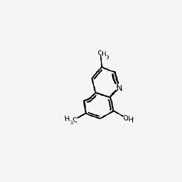 Cc1cnc2c(O)cc(C)cc2c1